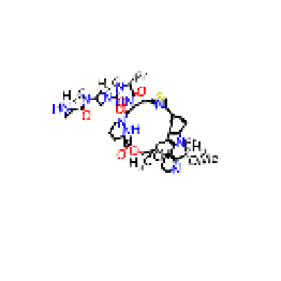 CCn1c(C2=C([C@H](C)OC)N=CCC2)c2c3cc(ccc31)-c1csc(n1)C[C@H](NC(=O)[C@H](C(C)C)N(C)C(=O)N1CC(N(C)C(=O)[C@H]3CN3)C1)C(=O)N1CCC[C@H](N1)C(=O)OCC(C)(C)C2